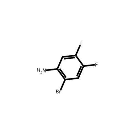 Nc1cc(I)c(F)cc1Br